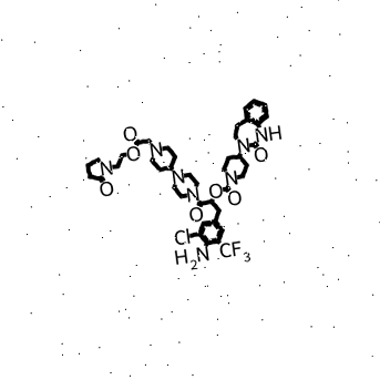 Nc1c(Cl)cc(CC(OC(=O)N2CCC(N3CCc4ccccc4NC3=O)CC2)C(=O)N2CCN(C3CCN(CC(=O)OCCN4CCCC4=O)CC3)CC2)cc1C(F)(F)F